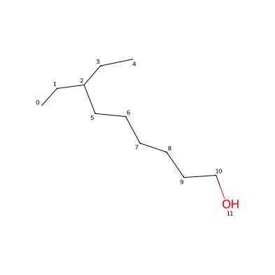 CCC(CC)CCCCCCO